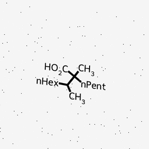 CCCCCCC(C)C(C)(CCCCC)C(=O)O